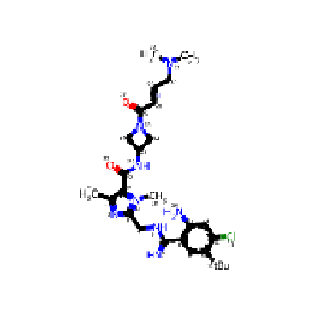 Cc1nc(CNC(=N)c2cc(C(C)(C)C)c(Cl)cc2N)n(C)c1C(=O)NC1CN(C(=O)/C=C/CN(C)C)C1